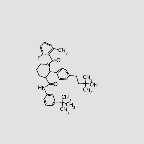 Cc1cccc(F)c1C(=O)N1CCCC(C(=O)Nc2cccc(C(C)(C)C)c2)C1c1ccc(CCC(C)(C)O)cc1